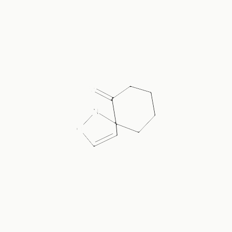 O=C1CCCCC12C=CON2